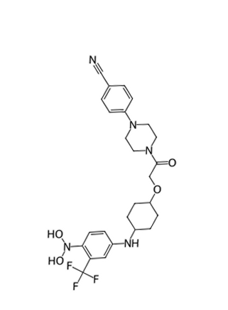 N#Cc1ccc(N2CCN(C(=O)COC3CCC(Nc4ccc(N(O)O)c(C(F)(F)F)c4)CC3)CC2)cc1